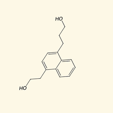 OCCCc1ccc(CCO)c2ccccc12